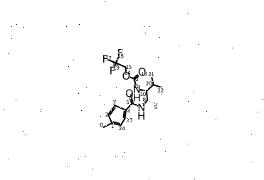 Cc1ccc(C(=O)N[C@@H](C)[C@@H](NC(=O)OCC(F)(F)F)C(C)C)cc1